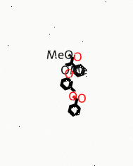 CO/C=C(/C(=O)OC)c1ccccc1Oc1cccc(COC(=O)c2ccccc2)c1